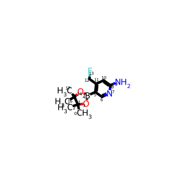 CC1(C)OB(c2cnc(N)cc2CF)OC1(C)C